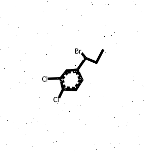 CCC(Br)c1ccc(Cl)c(Cl)c1